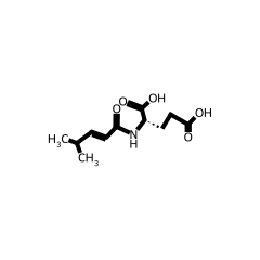 CC(C)/C=C/C(=O)N[C@@H](CCC(=O)O)C(=O)O